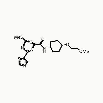 COCCO[C@H]1CC[C@H](NC(=O)c2cc(SC)nc(-c3cncs3)n2)CC1